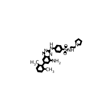 Cc1cccc(C)c1-c1cc(N)c2nc(Nc3ccc(S(=O)(=O)NCCN4CCCC4)cc3)nnc2c1